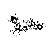 Cc1nc(N2C[C@H]3C[C@H]3C2=O)ncc1[C@H](C)n1cc(NC(=O)c2nc(-c3c(C(F)F)ccc(Cl)c3F)cc(=O)n2C)cn1